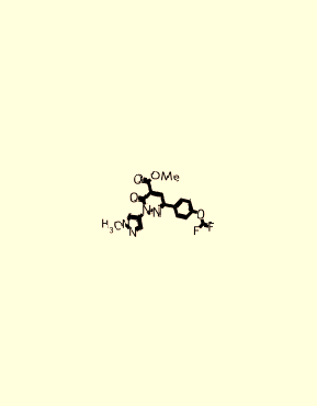 COC(=O)c1cc(-c2ccc(OC(F)F)cc2)nn(-c2cnn(C)c2)c1=O